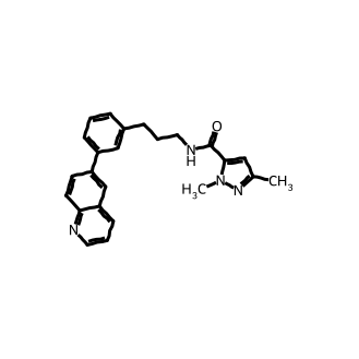 Cc1cc(C(=O)NCCCc2cccc(-c3ccc4ncccc4c3)c2)n(C)n1